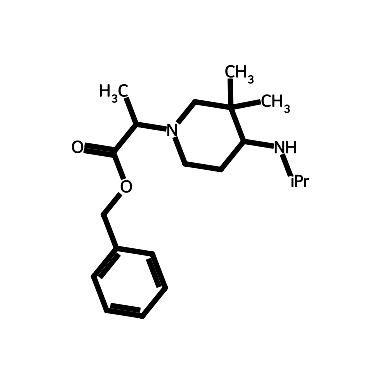 CC(C)NC1CCN(C(C)C(=O)OCc2ccccc2)CC1(C)C